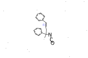 CC(C/C=C/c1ccccc1)(N=C=O)c1ccccc1